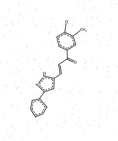 Cc1cc(C(=O)/C=C/c2cc(-c3ccccc3)n[nH]2)ccc1Cl